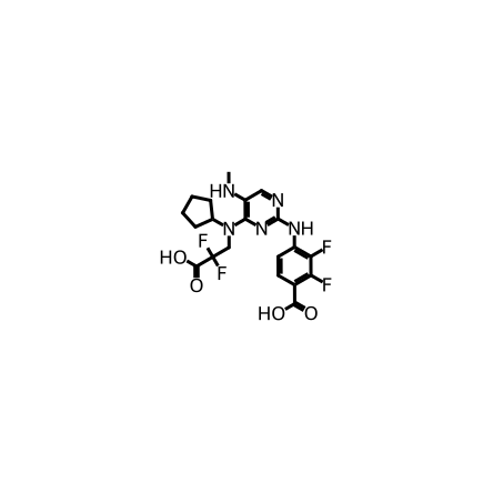 CNc1cnc(Nc2ccc(C(=O)O)c(F)c2F)nc1N(CC(F)(F)C(=O)O)C1CCCC1